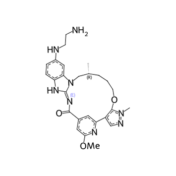 COc1cc2cc(n1)-c1cnn(C)c1OCCC[C@@H](C)CN1/C(=N/C2=O)Nc2ccc(NCCN)cc21